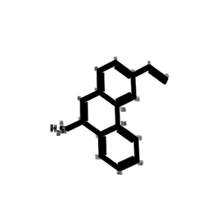 C=Cc1ccc2cc([SiH3])c3ccccc3c2c1